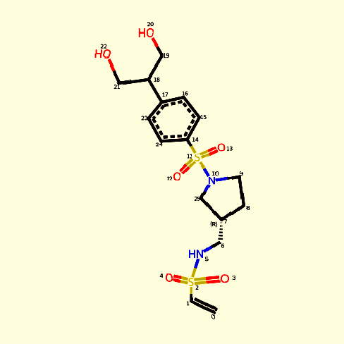 C=CS(=O)(=O)NC[C@H]1CCN(S(=O)(=O)c2ccc(C(CO)CO)cc2)C1